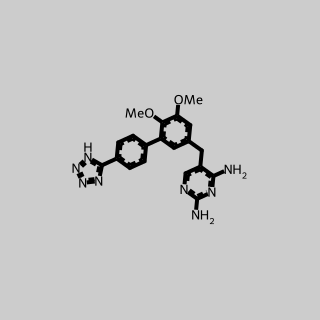 COc1cc(Cc2cnc(N)nc2N)cc(-c2ccc(-c3nnn[nH]3)cc2)c1OC